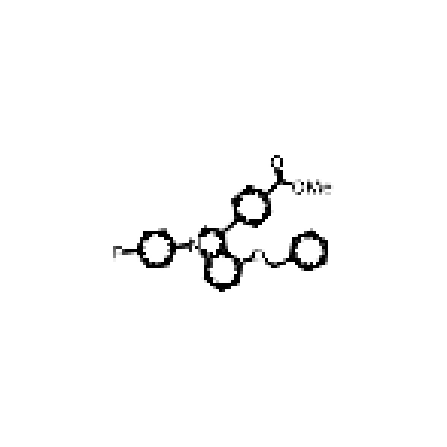 COC(=O)c1ccc(-c2cn(-c3ccc(F)cc3)c3cccc(OCc4ccccc4)c23)cc1